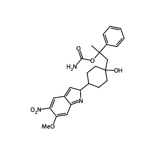 COc1cc2c(cc1[N+](=O)[O-])=CC(C1CCC(O)(CC(C)(OC(N)=O)c3ccccc3)CC1)N=2